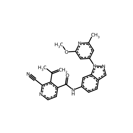 C=C(C)c1c(C(=O)Nc2ccc3cnn(-c4cc(C)nc(OC)c4)c3c2)ccnc1C#N